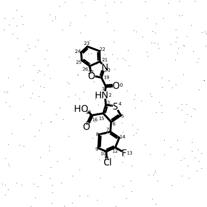 O=C(Nc1scc(-c2ccc(Cl)c(F)c2)c1C(=O)O)c1nc2ccccc2o1